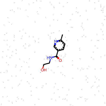 Cc1ccc(C(=O)NCCO)cn1